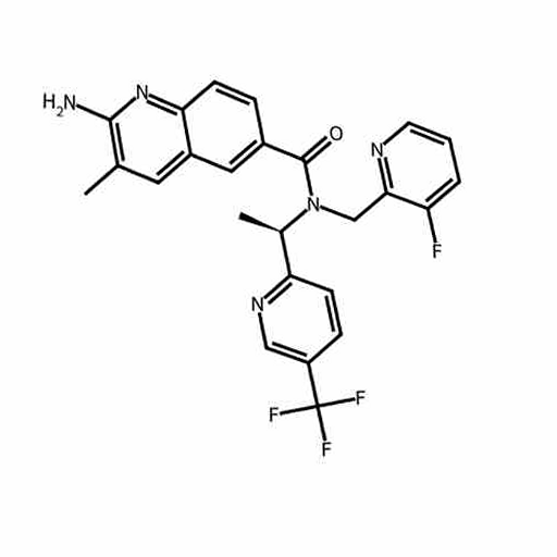 Cc1cc2cc(C(=O)N(Cc3ncccc3F)[C@H](C)c3ccc(C(F)(F)F)cn3)ccc2nc1N